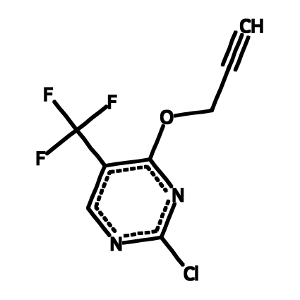 C#CCOc1nc(Cl)ncc1C(F)(F)F